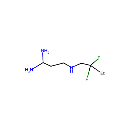 CCC(F)(F)CNCCC(N)N